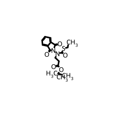 CCSC(=O)N(CCC(=O)OC(C)(C)C)N1C(=O)c2ccccc2C1=O